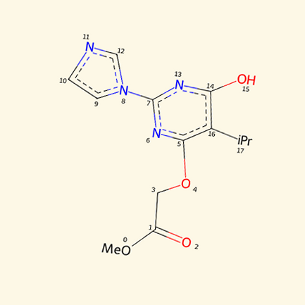 COC(=O)COc1nc(-n2ccnc2)nc(O)c1C(C)C